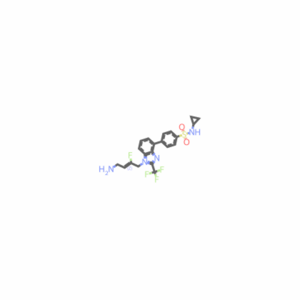 NC/C=C(\F)Cn1c(C(F)(F)F)nc2c(-c3ccc(S(=O)(=O)NC4CC4)cc3)cccc21